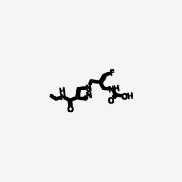 CCNC(=O)c1cnn(C/C(=C/F)CNC(=O)O)c1